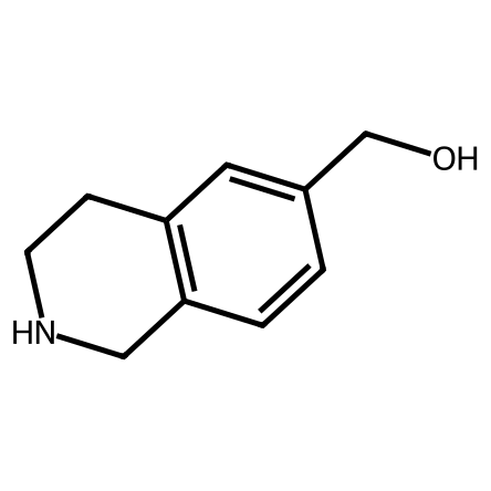 OCc1ccc2c(c1)CCNC2